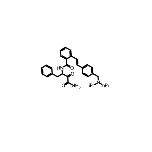 CCCN(Cc1ccc(C=Cc2ccccc2C(=O)NC(Cc2ccccc2)C(=O)C(N)=O)cc1)C(C)C